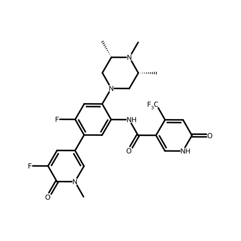 C[C@@H]1CN(c2cc(F)c(-c3cc(F)c(=O)n(C)c3)cc2NC(=O)c2c[nH]c(=O)cc2C(F)(F)F)C[C@H](C)N1C